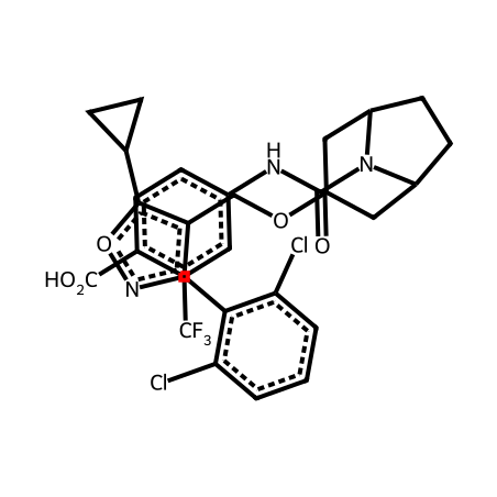 O=C(O)c1ccc(NC(=O)N2C3CCC2CC(OCc2c(-c4c(Cl)cccc4Cl)noc2C2CC2)C3)cc1C(F)(F)F